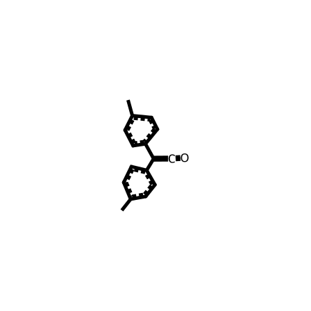 Cc1ccc(C(=C=O)c2ccc(C)cc2)cc1